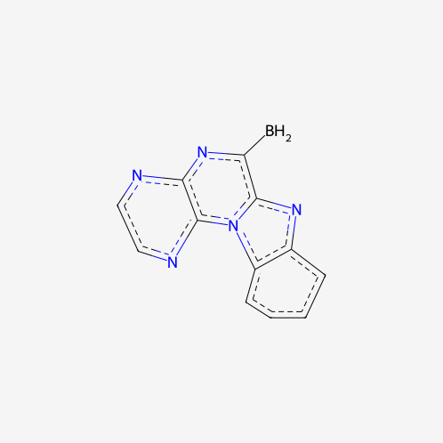 Bc1nc2nccnc2n2c1nc1ccccc12